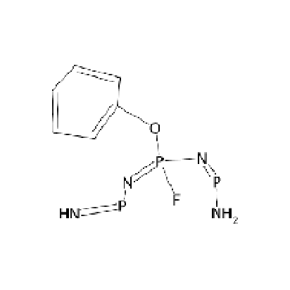 N=PN=P(F)(/N=P\N)Oc1ccccc1